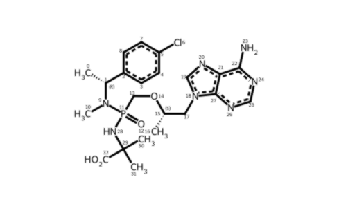 C[C@H](c1ccc(Cl)cc1)N(C)P(=O)(CO[C@@H](C)Cn1cnc2c(N)ncnc21)NC(C)(C)C(=O)O